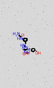 NCC(=O)Nc1cccc(CNc2ncc([N+](=O)[O-])c(NC[C@H]3CC[C@H](CO)CC3)n2)c1